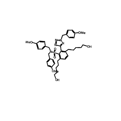 COc1ccc(CN(Cc2ccc(OC)cc2)S(=O)(=O)c2c(CCCCCO)ccc(CCCCCO)c2-c2nnn(Cc3ccc(OC)cc3)n2)cc1